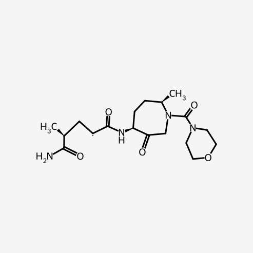 C[C@@H]1CC[C@H](NC(=O)[CH]C[C@H](C)C(N)=O)C(=O)CN1C(=O)N1CCOCC1